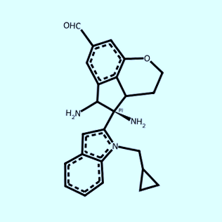 NC1c2cc(C=O)cc3c2C(CCO3)[C@]1(N)c1cc2ccccc2n1CC1CC1